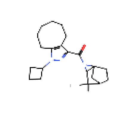 CC1(C)C2CCC3(C2)C1N3C(=O)c1nn(C2CCC2)c2c1CCCCCC2